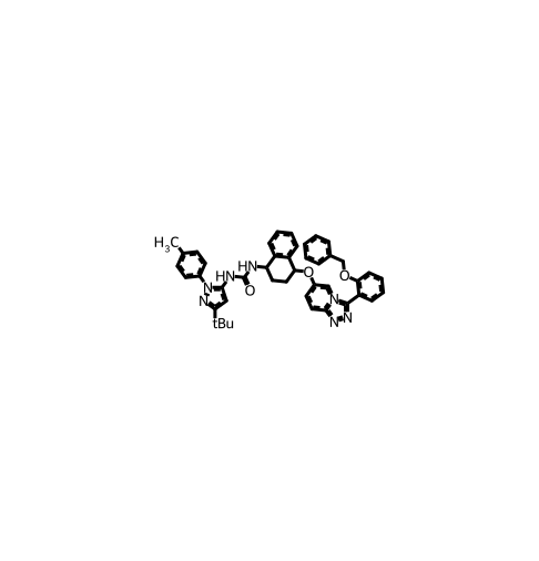 Cc1ccc(-n2nc(C(C)(C)C)cc2NC(=O)NC2CCC(Oc3ccc4nnc(-c5ccccc5OCc5ccccc5)n4c3)c3ccccc32)cc1